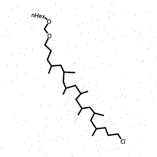 CCCCCCOCOCCCC(C)CC(C)CC(C)CC(C)CC(C)CC(C)CC(C)CCCCl